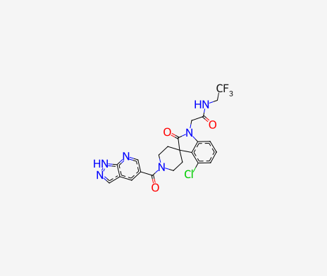 O=C(CN1C(=O)C2(CCN(C(=O)c3cnc4[nH]ncc4c3)CC2)c2c(Cl)cccc21)NCC(F)(F)F